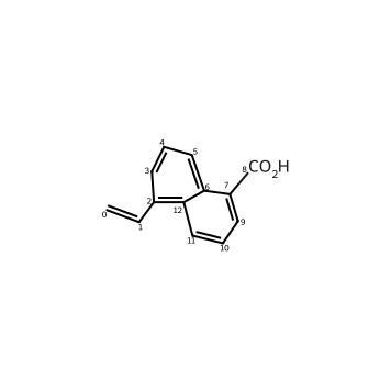 C=Cc1cccc2c(C(=O)O)cccc12